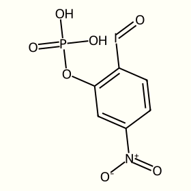 O=Ic1ccc([N+](=O)[O-])cc1OP(=O)(O)O